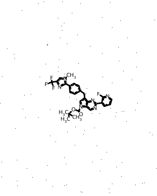 Cn1cc(C(F)(F)F)nc1-c1ccc(Cc2cn(C(=O)OC(C)(C)C)c3cnc(-c4cccnc4F)nc23)cc1